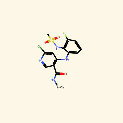 CONC(=O)c1cnc(Cl)cc1Nc1cccc(F)c1NS(C)(=O)=O